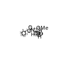 COC(CNC(=O)OCc1ccccc1)[C@H]1OC[C@@H]2O[C@@H]21